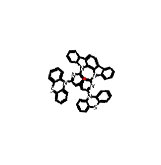 C1=CC2c3ccc4c5ccccc5n(-c5cccc(N6c7ccccc7Sc7ccccc76)n5)c4c3N(c3cccc(N4c5ccccc5Sc5ccccc54)n3)C2C=C1